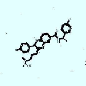 C[C@@H](CCCc1nc2cc(C(=O)N[C@H](C)c3ccc(Cl)cc3)ccc2nc1-c1ccc(F)cc1)C(=O)O